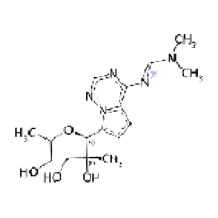 CC(CO)O[C@@H](c1ccc2c(/N=C/N(C)C)ncnn12)[C@](C)(O)CO